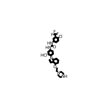 Cl.O=C(Nc1ccc(-n2ccc3c(OCCN4CCNCC4)cccc32)cc1)Nc1ccc(Cl)c(C(F)(F)F)c1